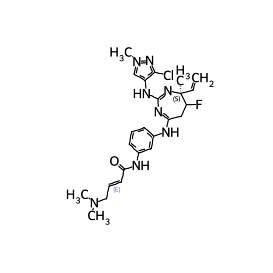 C=C[C@]1(C)N=C(Nc2cn(C)nc2Cl)N=C(Nc2cccc(NC(=O)/C=C/CN(C)C)c2)CC1F